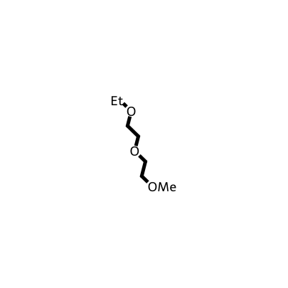 [CH2]OCCOCCOCC